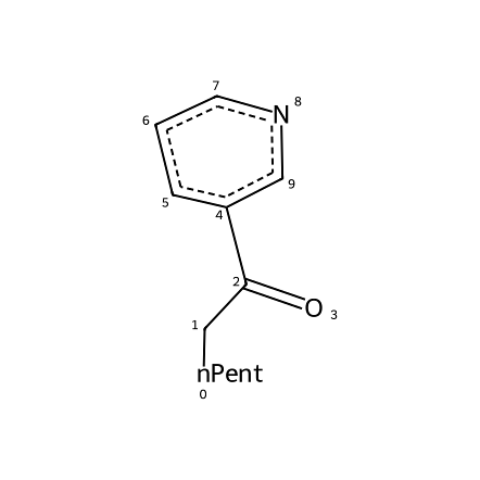 CCCCCCC(=O)c1cccnc1